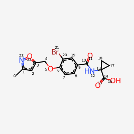 Cc1cc(COc2ccc(C(=O)NC3(C(=O)O)CC3)cc2Br)on1